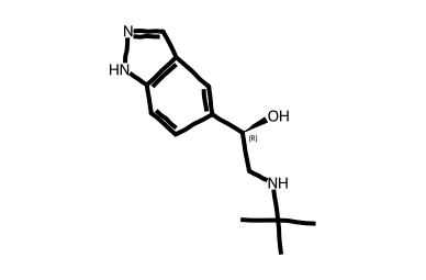 CC(C)(C)NC[C@H](O)c1ccc2[nH]ncc2c1